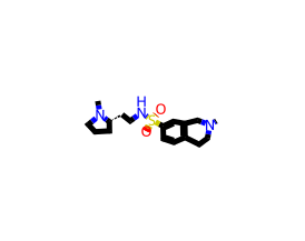 CN1CCc2ccc(S(=O)(=O)NCC[C@@H]3CCCN3C)cc2C1